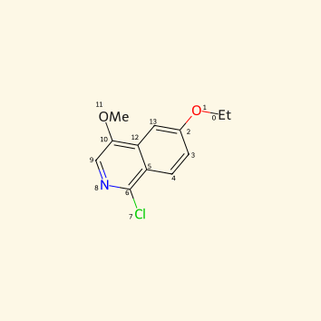 CCOc1ccc2c(Cl)ncc(OC)c2c1